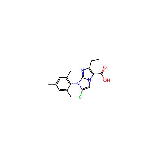 CCc1nc2n(-c3c(C)cc(C)cc3C)c(Cl)cn2c1C(=O)O